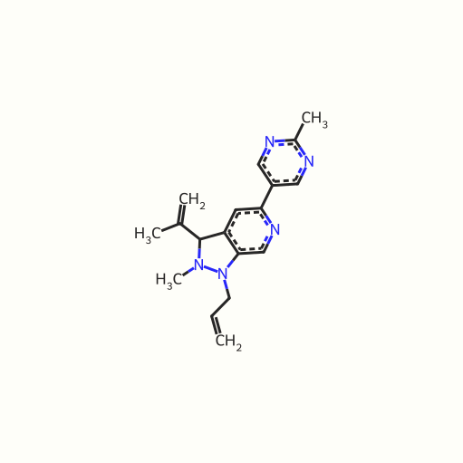 C=CCN1c2cnc(-c3cnc(C)nc3)cc2C(C(=C)C)N1C